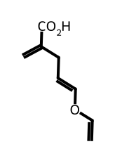 C=COC=CCC(=C)C(=O)O